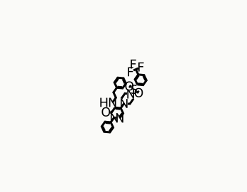 O=c1c(NCCc2ccccc2)c(N2CCN(S(=O)(=O)c3cccc(C(F)(F)F)c3)CC2)cnn1-c1ccccc1